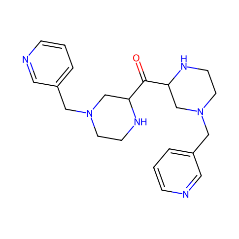 O=C(C1CN(Cc2cccnc2)CCN1)C1CN(Cc2cccnc2)CCN1